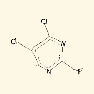 Fc1n[c]c(Cl)c(Cl)n1